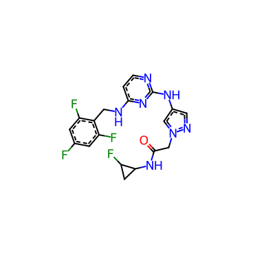 O=C(Cn1cc(Nc2nccc(NCc3c(F)cc(F)cc3F)n2)cn1)NC1CC1F